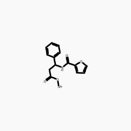 CCCOC(=O)CC(NC(=O)c1ccco1)c1ccccc1